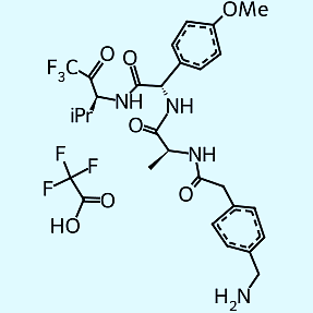 COc1ccc([C@H](NC(=O)[C@H](C)NC(=O)Cc2ccc(CN)cc2)C(=O)N[C@H](C(=O)C(F)(F)F)C(C)C)cc1.O=C(O)C(F)(F)F